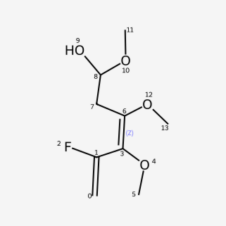 C=C(F)/C(OC)=C(\CC(O)OC)OC